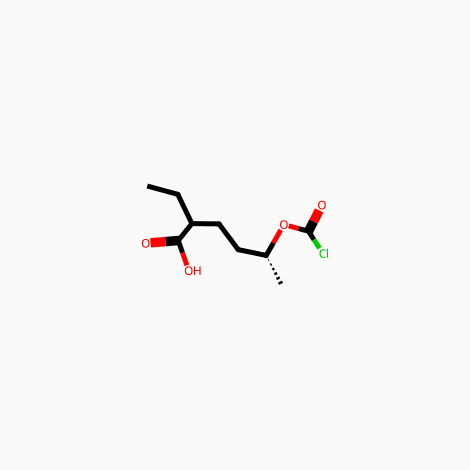 CCC(CC[C@@H](C)OC(=O)Cl)C(=O)O